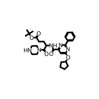 CC(C)(C)OC(=O)CCC(NC(=O)c1cc(OC2CCCC2)nc(-c2ccccc2)n1)C(=O)N1CCNCC1